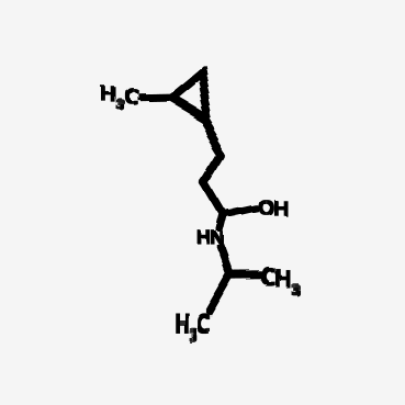 CC(C)NC(O)CCC1CC1C